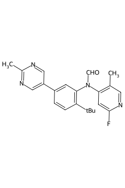 Cc1ncc(-c2ccc(C(C)(C)C)c(N(C=O)c3cc(F)ncc3C)c2)cn1